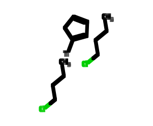 CCCCCl.CCCCCl.[Ti][C]1=CC=CC1